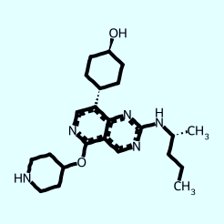 CCC[C@@H](C)Nc1ncc2c(OC3CCNCC3)ncc([C@H]3CC[C@H](O)CC3)c2n1